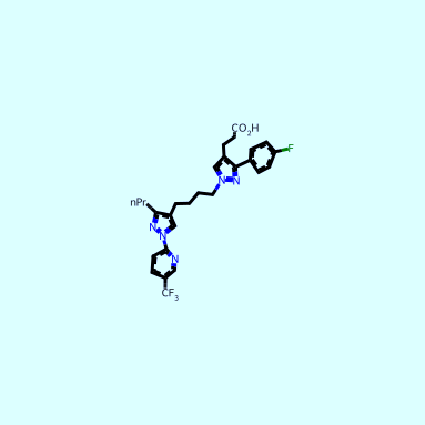 CCCc1nn(-c2ccc(C(F)(F)F)cn2)cc1CCCCn1cc(CCC(=O)O)c(-c2ccc(F)cc2)n1